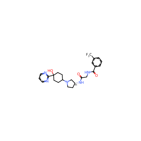 O=C(CNC(=O)c1cccc(C(F)(F)F)c1)N[C@@H]1CCN(C2CCC(O)(c3ncccn3)CC2)C1